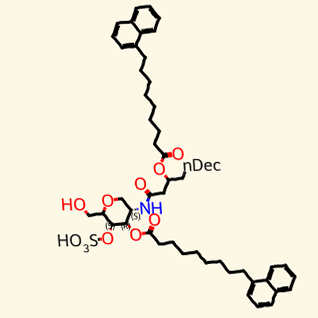 CCCCCCCCCCCC(CC(=O)N[C@H]1COC(CO)[C@@H](OS(=O)(=O)O)[C@@H]1OC(=O)CCCCCCCCc1cccc2ccccc12)OC(=O)CCCCCCCCc1cccc2ccccc12